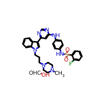 CN1CCN(CCCn2cc(-c3cc(Nc4ccc(NS(=O)(=O)c5ccccc5F)cc4)ncn3)c3ccccc32)CC1.O=CO